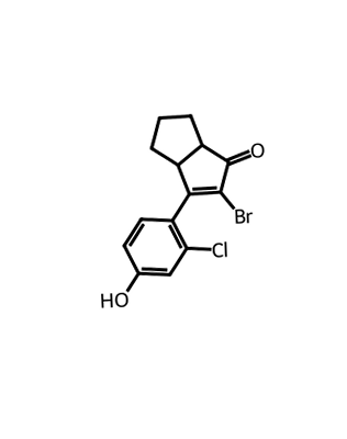 O=C1C(Br)=C(c2ccc(O)cc2Cl)C2CCCC12